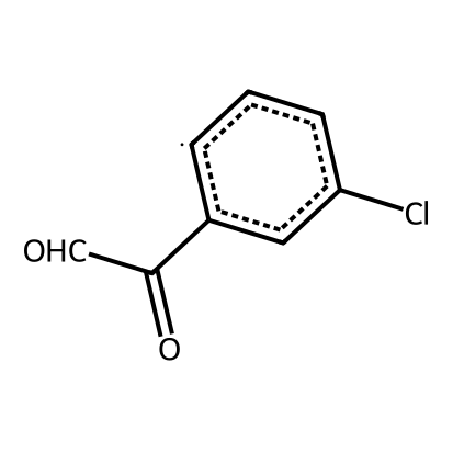 O=CC(=O)c1[c]ccc(Cl)c1